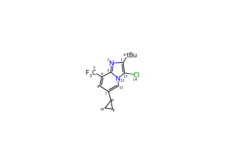 CC(C)(C)c1nc2c(C(F)(F)F)cc(C3CC3)cn2c1Cl